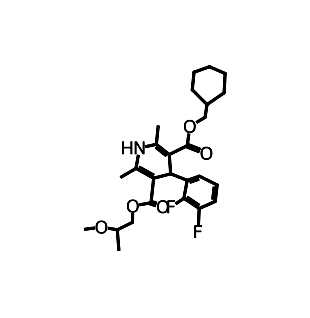 COC(C)COC(=O)C1=C(C)NC(C)=C(C(=O)OCC2CCCCC2)C1c1cccc(F)c1F